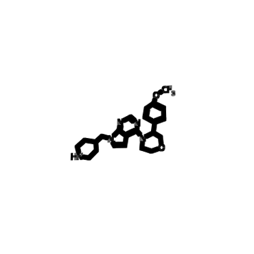 FC(F)(F)Oc1ccc(C2COCCN2c2ncnc3c2ccn3CC2CCNCC2)cc1